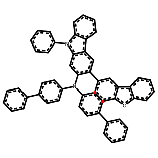 c1ccc(-c2ccc(N(c3ccc(-c4ccccc4)cc3)c3cc4c(cc3-c3ccc5oc6ccccc6c5c3)c3ccccc3n4-c3ccccc3)cc2)cc1